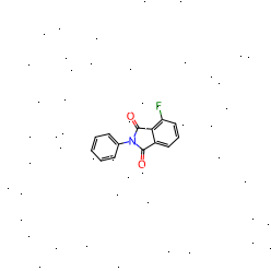 O=C1c2cccc(F)c2C(=O)N1c1ccccc1